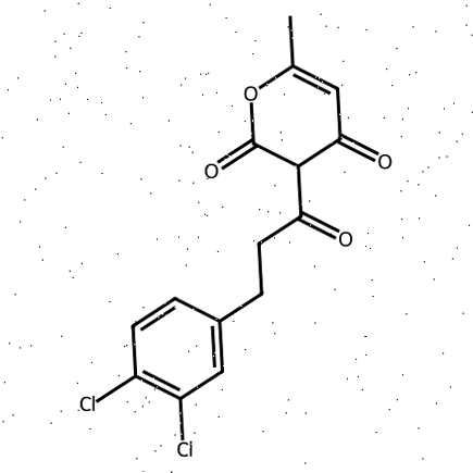 CC1=CC(=O)C(C(=O)CCc2ccc(Cl)c(Cl)c2)C(=O)O1